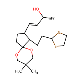 CCCC(O)C=CC1CCC2(OCC(C)(C)CO2)C1CCC1SCCS1